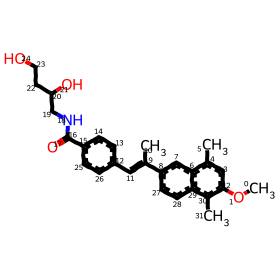 COc1cc(C)c2cc(C(C)=Cc3ccc(C(=O)NCC(O)CCO)cc3)ccc2c1C